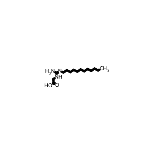 CCCCCCCCCCCCN=C(N)NCC(=O)O